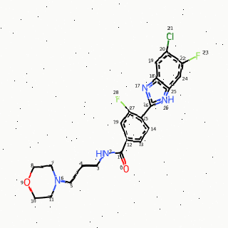 O=C(NCCCN1CCOCC1)c1ccc(-c2nc3cc(Cl)c(F)cc3[nH]2)c(F)c1